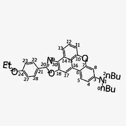 CCCCN(CCCC)c1ccc2c(c1)Oc1cccc3c1c-2cc1oc(-c2ccc(OCC)cc2)nc13